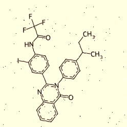 CCC(C)c1ccc(-n2c(-c3ccc(NC(=O)C(F)(F)F)c(I)c3)nc3ccccc3c2=O)cc1